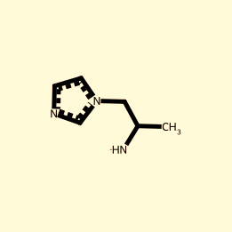 CC([NH])Cn1ccnc1